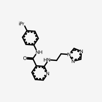 CC(C)c1ccc(NC(=O)c2cccnc2NCCn2cncn2)cc1